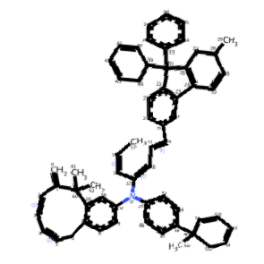 C=C1/C=C\C=C/Cc2ccc(N(C(/C=C\C)=C/C=C/c3ccc4c(c3)C3=C(CC(C)C=C3)C4(c3ccccc3)C3C=CC=CC3)c3ccc(C4(C)C=CC=CC4)cc3)cc2C1(C)C